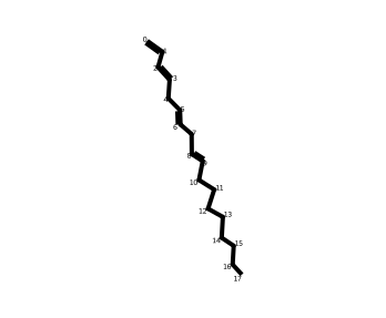 C=CC=CCC=CCC=CCCCCCCCC